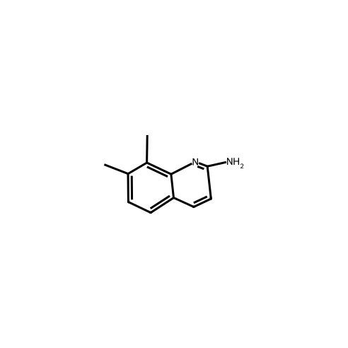 Cc1ccc2ccc(N)nc2c1C